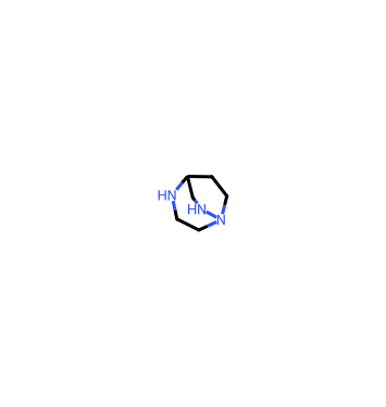 C1CN2CCC(CN2)N1